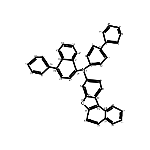 c1ccc(-c2ccc(N(c3ccc4c(c3)oc3ccc5ccccc5c34)c3ccc(-c4ccccc4)c4ccccc34)cc2)cc1